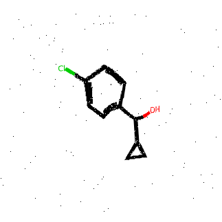 OC(c1ccc(Cl)cc1)C1CC1